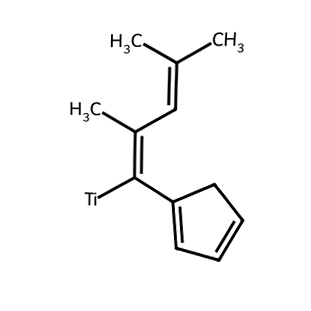 CC(C)=CC(C)=[C]([Ti])C1=CC=CC1